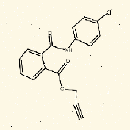 C#CCOC(=O)c1ccccc1C(=O)Nc1ccc(Cl)cc1